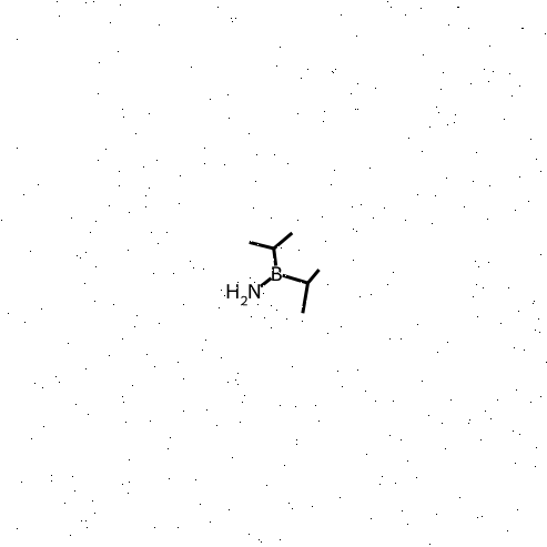 CC(C)B(N)C(C)C